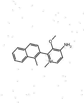 COc1c(N)cc[n+](C)c1-c1ccc2ccccc2c1C